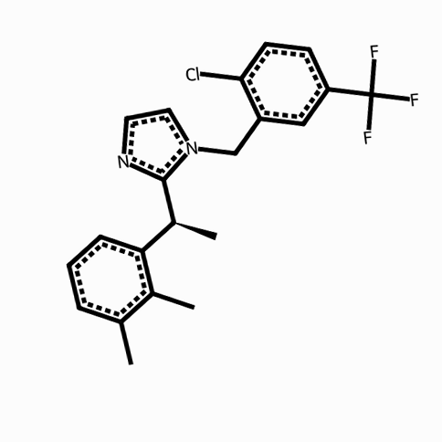 Cc1cccc([C@H](C)c2nccn2Cc2cc(C(F)(F)F)ccc2Cl)c1C